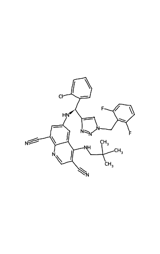 CC(C)(C)CNc1c(C#N)cnc2c(C#N)cc(N[C@H](c3cn(Cc4c(F)cccc4F)nn3)c3ccccc3Cl)cc12